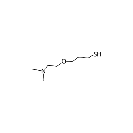 CN(C)CCOCCCS